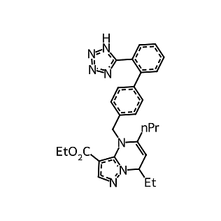 CCCC1=CC(CC)n2ncc(C(=O)OCC)c2N1Cc1ccc(-c2ccccc2-c2nnn[nH]2)cc1